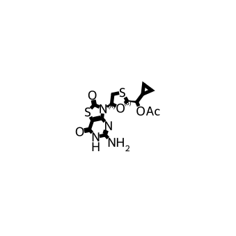 CC(=O)OC(C1CC1)[C@H]1O[C@@H](n2c(=O)sc3c(=O)[nH]c(N)nc32)CS1